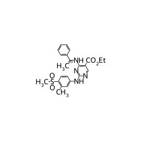 CCOC(=O)c1cnc(Nc2ccc(S(C)(=O)=O)c(C)c2)nc1N[C@H](C)c1ccccc1